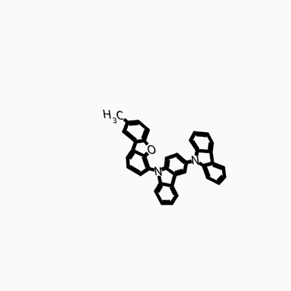 Cc1ccc2oc3c(-n4c5ccccc5c5cc(-n6c7ccccc7c7ccccc76)ccc54)cccc3c2c1